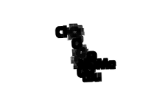 COC(=O)[C@H]1c2ccc(OCc3cccc(Cl)c3)cc2CCN1C(=O)OC(C)(C)C